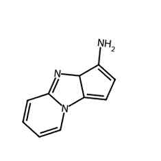 NC1=CC=C2C1N=C1C=CC=CN21